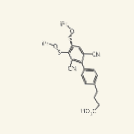 CC(C)OSc1cc(C#N)c(-c2ccc(CCCC(=O)O)cc2)c(C#N)c1SOC(C)C